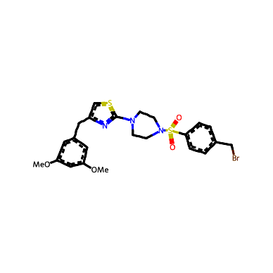 COc1cc(Cc2csc(N3CCN(S(=O)(=O)c4ccc(CBr)cc4)CC3)n2)cc(OC)c1